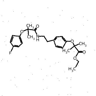 CCOC(=O)C(C)(C)Oc1ccc(CCNC(=O)C(C)(C)Oc2ccc(F)cc2)cc1